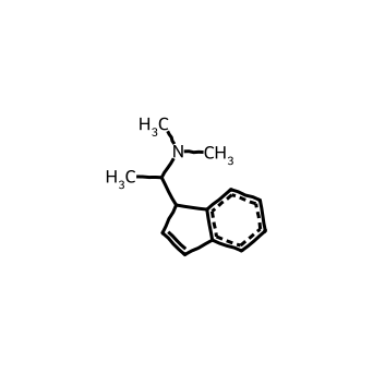 CC(C1C=Cc2ccccc21)N(C)C